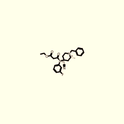 CCOC(=O)CC(=O)N(c1cccc(F)c1)[C@@]1(C#N)CCN(Cc2ccccc2)[C@H](C)C1